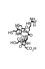 N=C(N)NCCC[C@H](NC(=O)[C@H](CS)NC(=O)[C@@H](N)CS)C(=O)NCC(=O)N[C@@H](CC(=O)O)C(=O)N[C@@H](CO)C(=O)O